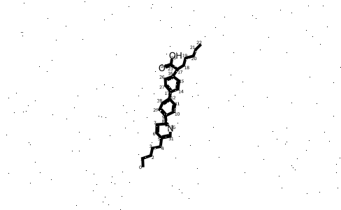 CCCCCc1ccc(-c2ccc(-c3ccc(C(CCCCC)C(=O)O)cc3)cc2)nc1